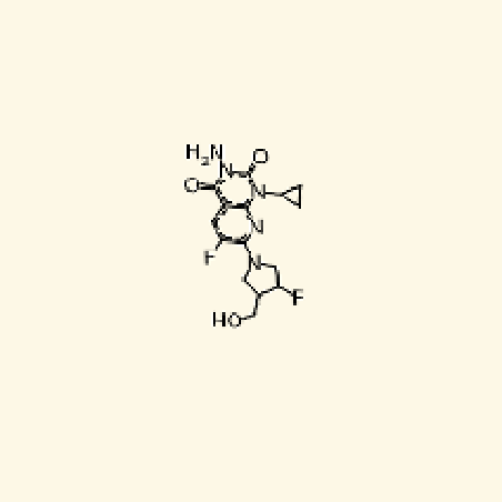 Nn1c(=O)c2cc(F)c(N3CC(F)C(CO)C3)nc2n(C2CC2)c1=O